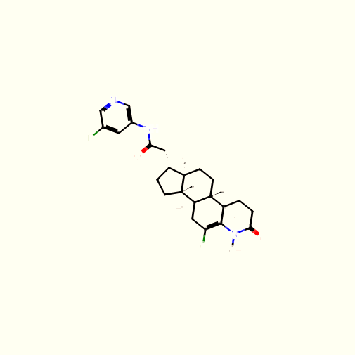 CN1C(=O)CC[C@@]2(C)C1=C(Cl)C[C@H]1[C@@H]3CC[C@H](CC(=O)Nc4cncc(F)c4)[C@@]3(C)CC[C@@H]12